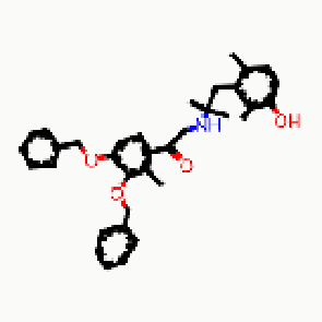 Cc1ccc(O)c(C)c1CC(C)(C)NCC(=O)c1ccc(OCc2ccccc2)c(OCc2ccccc2)c1C